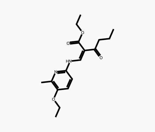 CCCC(=O)C(=CNc1ccc(OCC)c(C)n1)C(=O)OCC